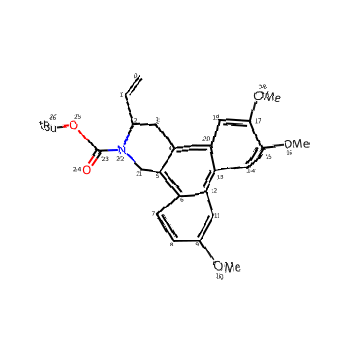 C=CC1Cc2c(c3ccc(OC)cc3c3cc(OC)c(OC)cc23)CN1C(=O)OC(C)(C)C